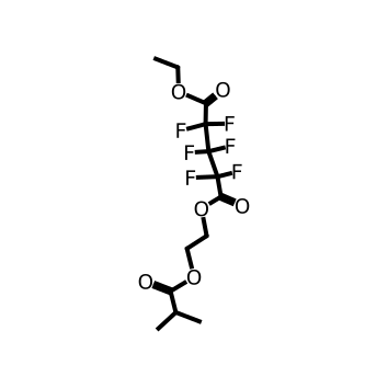 CCOC(=O)C(F)(F)C(F)(F)C(F)(F)C(=O)OCCOC(=O)C(C)C